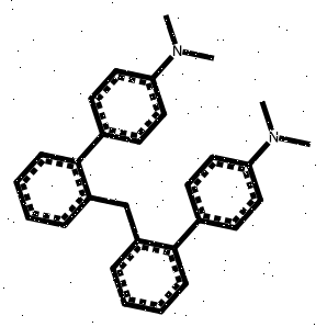 CN(C)c1ccc(-c2ccccc2Cc2ccccc2-c2ccc(N(C)C)cc2)cc1